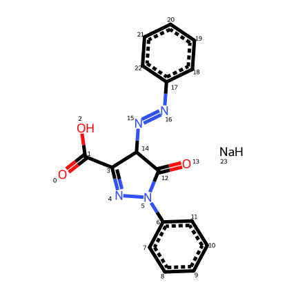 O=C(O)C1=NN(c2ccccc2)C(=O)C1N=Nc1ccccc1.[NaH]